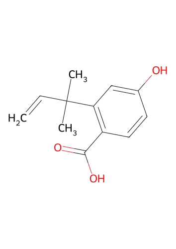 C=CC(C)(C)c1cc(O)ccc1C(=O)O